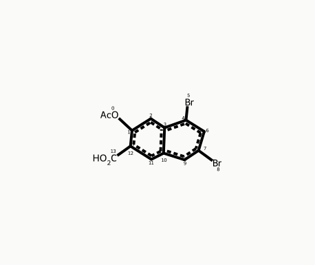 CC(=O)Oc1cc2c(Br)cc(Br)cc2cc1C(=O)O